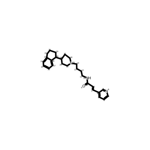 O=C(/C=C/c1cccnc1)NCCCCN1CCC(C2CCCc3ccccc32)CC1